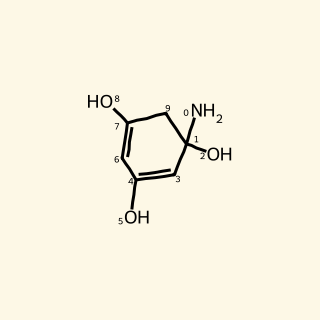 NC1(O)C=C(O)C=C(O)C1